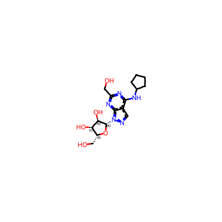 OCc1nc(NC2CCCC2)c2cnn([C@@H]3O[C@H](CO)[C@@H](O)[C@H]3O)c2n1